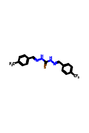 FC(F)(F)c1ccc(C=NNC(=S)NN=Cc2ccc(C(F)(F)F)cc2)cc1